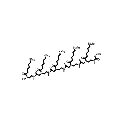 CCN(CCNC(=O)CN(CCNC(=O)CN(CCNC(=O)CN(CCNC(=O)CN(CCNC(=O)OC(C)(C)C)C(=O)CCCCCNC)C(=O)CCCCCNC)C(=O)CCCCCNC)C(=O)CCCCCNC)C(=O)CCCCCNC